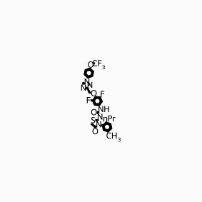 CCCc1ccc(C)cc1N1C(=O)CSC1=NC(=O)Nc1cc(F)c(OCc2ncn(-c3ccc(OC(F)(F)F)cc3)n2)c(F)c1